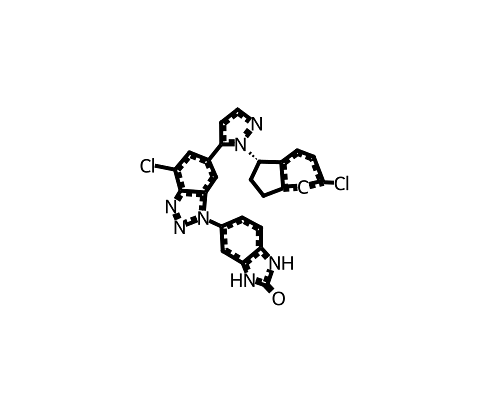 O=c1[nH]c2ccc(-n3nnc4c(Cl)cc(-c5ccnn5[C@H]5CCc6cc(Cl)ccc65)cc43)cc2[nH]1